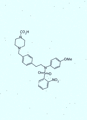 COc1ccc(N(CCc2ccc(CN3CCN(C(=O)O)CC3)cc2)S(=O)(=O)c2ccccc2[N+](=O)[O-])cc1